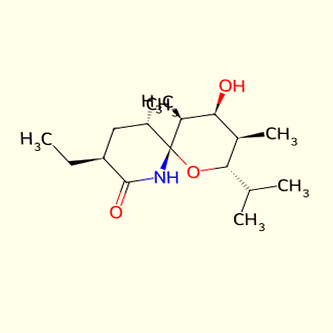 CC[C@H]1C[C@H](C)[C@@]2(NC1=O)O[C@@H](C(C)C)[C@H](C)[C@H](O)[C@@H]2C